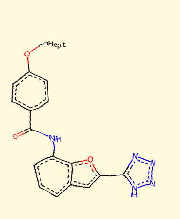 CCCCCCCOc1ccc(C(=O)Nc2cccc3cc(-c4nnn[nH]4)oc23)cc1